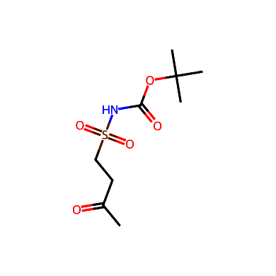 CC(=O)CCS(=O)(=O)NC(=O)OC(C)(C)C